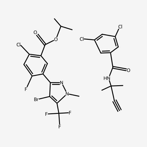 C#CC(C)(C)NC(=O)c1cc(Cl)cc(Cl)c1.CC(C)OC(=O)c1cc(-c2nn(C)c(C(F)(F)F)c2Br)c(F)cc1Cl